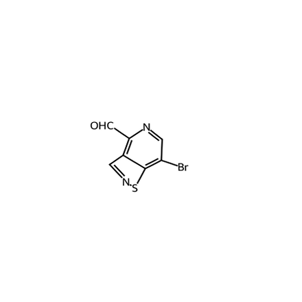 O=Cc1ncc(Br)c2sncc12